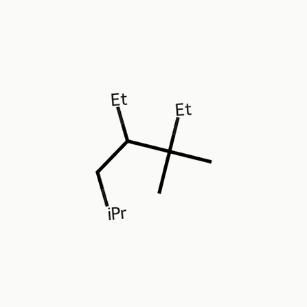 [CH2]C(C)CC(CC)C(C)(C)CC